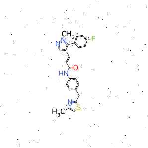 Cc1csc(Cc2ccc(NC(=O)/C=C/c3cnn(C)c3-c3ccc(F)cc3)cc2)n1